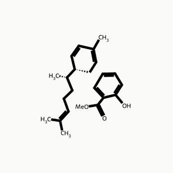 CC(C)=CCC[C@H](C)[C@@H]1C=CC(C)=CC1.COC(=O)c1ccccc1O